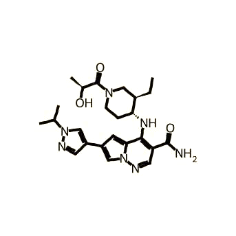 CC[C@@H]1CN(C(=O)[C@H](C)O)CC[C@H]1Nc1c(C(N)=O)cnn2cc(-c3cnn(C(C)C)c3)cc12